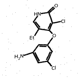 CCc1c[nH]c(=O)c(Cl)c1Oc1cc(N)cc(Cl)c1